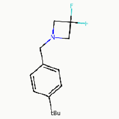 CC(C)(C)c1ccc(CN2CC(F)(F)C2)cc1